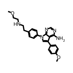 COCCNCCc1ccc(-n2cc(-c3ccc(OC)cc3)c3c(N)ncnc32)cc1